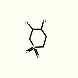 CCC1CCS(=O)(=O)CC1CC